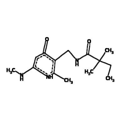 CCC(C)(C)C(=O)NCc1c(C)[nH]c(NC)cc1=O